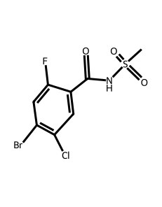 CS(=O)(=O)NC(=O)c1cc(Cl)c(Br)cc1F